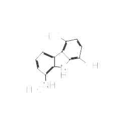 CNc1cccc2c1[nH]c1c(C)ccc(C)c12